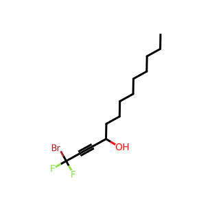 CCCCCCCCCC(O)C#CC(F)(F)Br